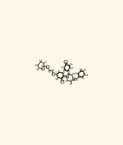 CC1CN(c2ccc(OCCOC3CCCCO3)cc2Cl)[C@H](c2ccc(Cl)cc2)CN1Cc1ccccc1